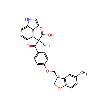 Cc1ccc2c(c1)[C@H](COc1ccc(C(=O)C(C)(C(=O)O)c3cccc4[nH]ccc34)cc1)CO2